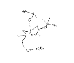 CCOC(=O)C1CC1CCC(C)O[C@@H]1O[C@@H](C)[C@H](O[Si](C)(C)C(C)(C)C)C[C@H]1O[Si](C)(C)C(C)(C)C